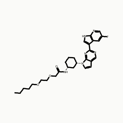 CCCCCOCCOCC(=O)N[C@@H]1CCC[C@H](n2ccc3cnc(-c4c[nH]c5ncc(F)cc45)nc32)C1